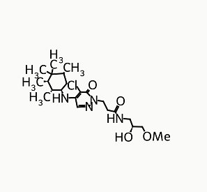 COC[C@@H](O)CNC(=O)CCn1ncc(N[C@@H]2C[C@H](C)C(C)(C)[C@H](C)[C@H]2C)c(Cl)c1=O